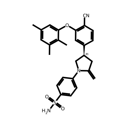 C=C1C[C@H](c2ccc(C#N)c(Oc3cc(C)cc(C)c3C)c2)CN1c1ccc(S(N)(=O)=O)cc1